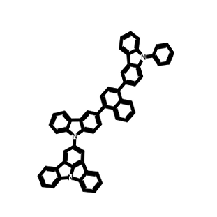 c1ccc(-n2c3ccccc3c3cc(-c4ccc(-c5ccc6c(c5)c5ccccc5n6-c5cc6c7ccccc7n7c8ccccc8c(c5)c67)c5ccccc45)ccc32)cc1